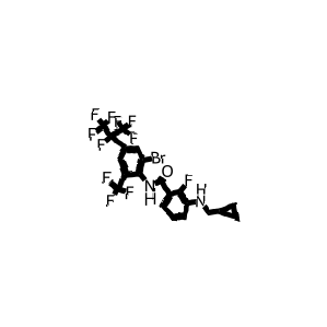 O=C(Nc1c(Br)cc(C(F)(C(F)(F)F)C(F)(F)F)cc1C(F)(F)F)c1cccc(NCC2CC2)c1F